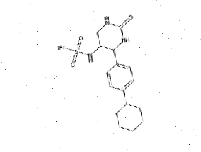 CC(C)S(=O)(=O)NC1CNC(=O)NC1c1ccc(C2CCCCC2)cc1